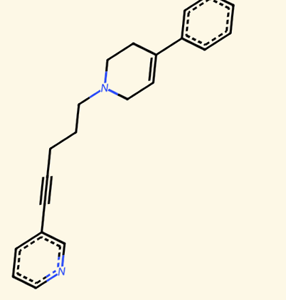 C(#Cc1cccnc1)CCCN1CC=C(c2ccccc2)CC1